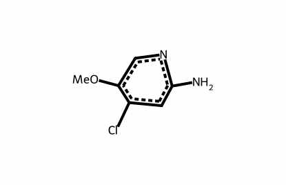 COc1cnc(N)cc1Cl